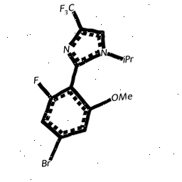 COc1cc(Br)cc(F)c1-c1nc(C(F)(F)F)cn1C(C)C